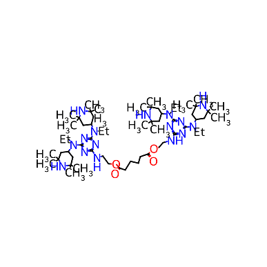 CCN(c1nc(NCCOC(=O)CCCCC(=O)OCCNc2nc(N(CC)C3CC(C)(C)NC(C)(C)C3)nc(N(CC)C3CC(C)(C)NC(C)(C)C3)n2)nc(N(CC)C2CC(C)(C)NC(C)(C)C2)n1)C1CC(C)(C)NC(C)(C)C1